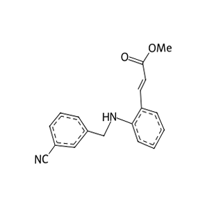 COC(=O)C=Cc1ccccc1NCc1cccc(C#N)c1